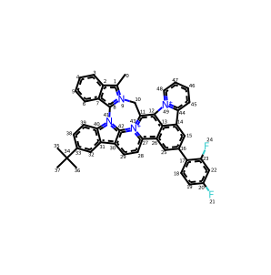 Cc1c2ccccc2c2n1Cc1c3c4c(cc(-c5ccc(F)cc5F)cc4c4ccc5c6cc(C(C)(C)C)ccc6n-2c5[n+]14)-c1cccc[n+]1-3